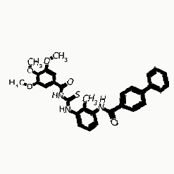 COC1=CC(C(=O)NC(=S)Nc2cccc(NC(=O)c3ccc(-c4ccccc4)cc3)c2C)=CC(OC)C1OC